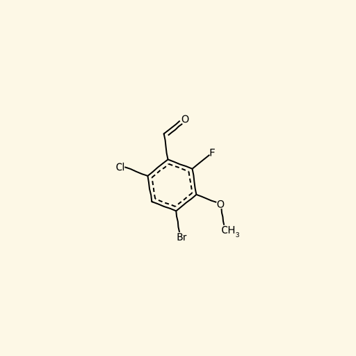 COc1c(Br)cc(Cl)c(C=O)c1F